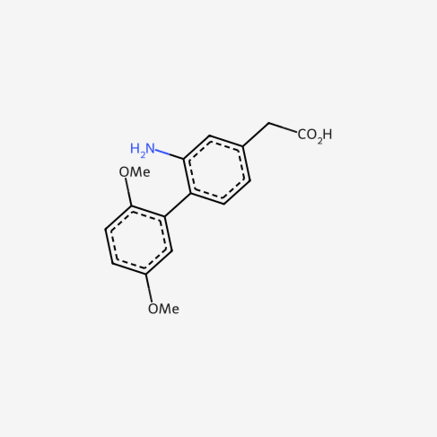 COc1ccc(OC)c(-c2ccc(CC(=O)O)cc2N)c1